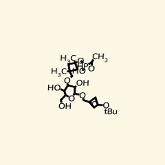 CC1O[PH]1(O)OC1(C)CC(C)(COC2C(O)C(CO)OC(OCC34CC(OC(C)(C)C)(C3)C4)C2O)C1